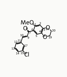 COc1cc2c(cc1C(=O)C=Cc1cccc(Cl)c1)OCCO2